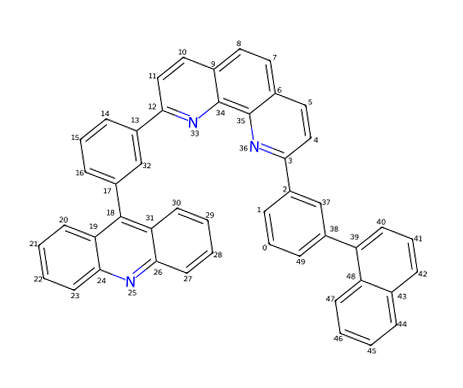 c1cc(-c2ccc3ccc4ccc(-c5cccc(-c6c7ccccc7nc7ccccc67)c5)nc4c3n2)cc(-c2cccc3ccccc23)c1